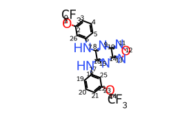 FC(F)(F)Oc1cccc(Nc2nc3nonc3nc2Nc2cccc(OC(F)(F)F)c2)c1